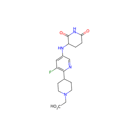 O=C(O)CN1CCC(c2ncc(NC3CCC(=O)NC3=O)cc2F)CC1